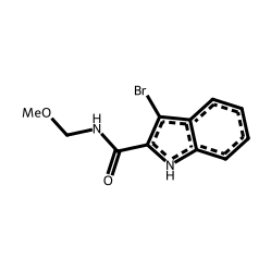 COCNC(=O)c1[nH]c2ccccc2c1Br